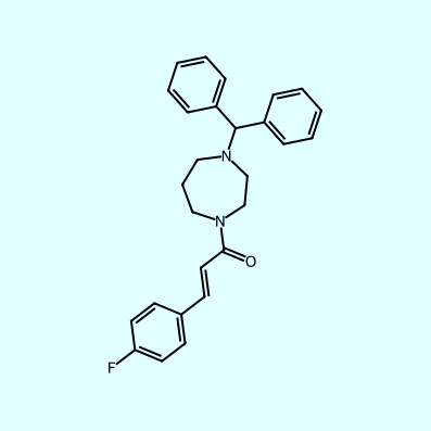 O=C(/C=C/c1ccc(F)cc1)N1CCCN(C(c2ccccc2)c2ccccc2)CC1